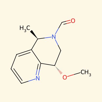 CO[C@H]1CN(C=O)[C@H](C)c2cccnc21